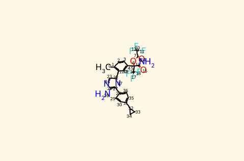 Cc1ccc(C(OC(=O)C(F)(F)F)(C(N)=O)C(F)(F)F)cc1-c1cnc(N)c(-c2ccc(C3CC3)cc2)n1